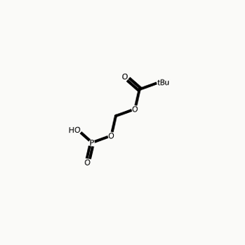 CC(C)(C)C(=O)OCO[P](=O)O